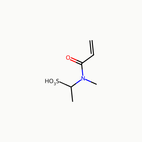 C=CC(=O)N(C)C(C)S(=O)(=O)O